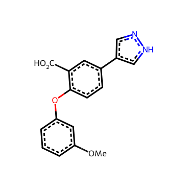 COc1cccc(Oc2ccc(-c3cn[nH]c3)cc2C(=O)O)c1